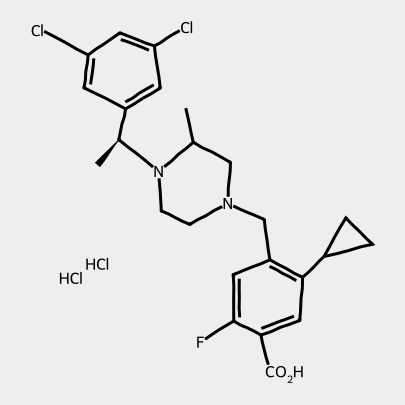 CC1CN(Cc2cc(F)c(C(=O)O)cc2C2CC2)CCN1[C@@H](C)c1cc(Cl)cc(Cl)c1.Cl.Cl